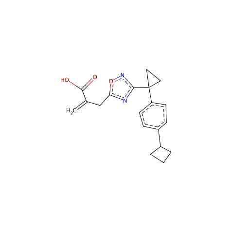 C=C(Cc1nc(C2(c3ccc(C4CCC4)cc3)CC2)no1)C(=O)O